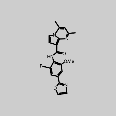 COc1cc(-c2ncco2)cc(F)c1NC(=O)c1ccn2c(C)cc(C)nc12